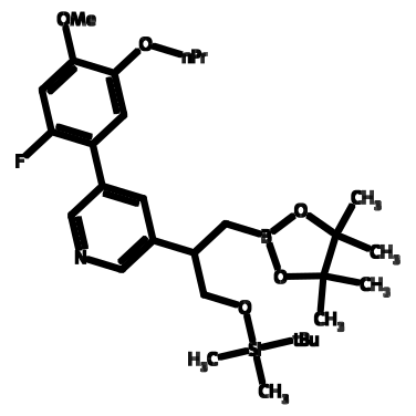 CCCOc1cc(-c2cncc(C(CO[Si](C)(C)C(C)(C)C)CB3OC(C)(C)C(C)(C)O3)c2)c(F)cc1OC